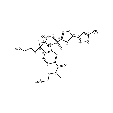 COCCN(C)C(=O)c1ccc(C2(CCCOC(C)=O)CC2(NS(=O)(=O)C2=CCC(c3cc(C(F)(F)F)on3)S2)C(=O)O)cc1